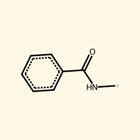 [CH]NC(=O)c1ccccc1